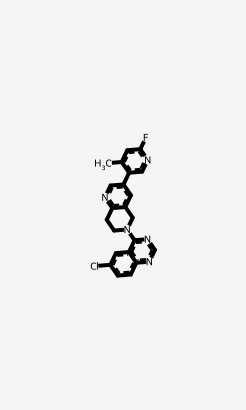 Cc1cc(F)ncc1-c1cnc2c(c1)CN(c1ncnc3ccc(Cl)cc13)CC2